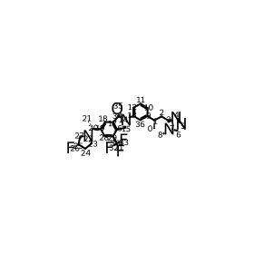 C[C@H](Cc1nncn1C)c1cccc(N2Cc3c(cc([C@@H](C)N4CC[C@H](F)C4)cc3C(F)(F)F)C2=O)c1